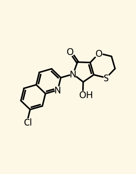 O=C1C2=C(SCCO2)C(O)N1c1ccc2ccc(Cl)cc2n1